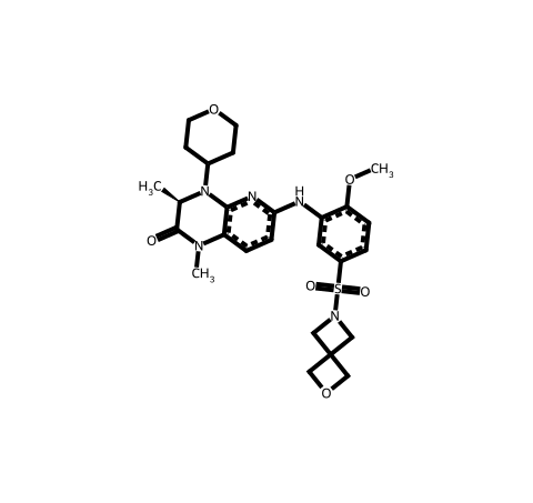 COc1ccc(S(=O)(=O)N2CC3(COC3)C2)cc1Nc1ccc2c(n1)N(C1CCOCC1)[C@H](C)C(=O)N2C